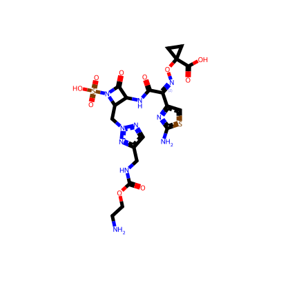 NCCOC(=O)NCc1cnn(CC2C(NC(=O)/C(=N\OC3(C(=O)O)CC3)c3csc(N)n3)C(=O)N2S(=O)(=O)O)n1